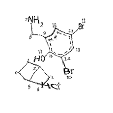 C1CC2CCC12.Cl.NCc1cc(Br)cc(Br)c1O